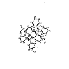 CCc1ccc2c(N(c3ccc(C)cc3)C3C=CC=CC3)c3cc(C(C)C)ccc3c(N(C3=CCC(C)C=C3)c3ccccc3)c2c1